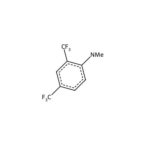 CNc1ccc(C(F)(F)F)cc1C(F)(F)F